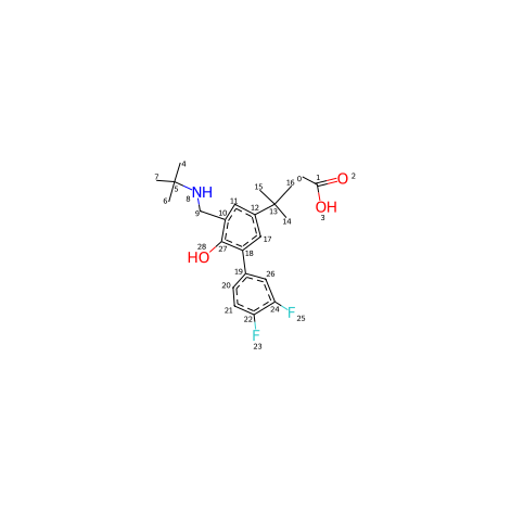 CC(=O)O.CC(C)(C)NCc1cc(C(C)(C)C)cc(-c2ccc(F)c(F)c2)c1O